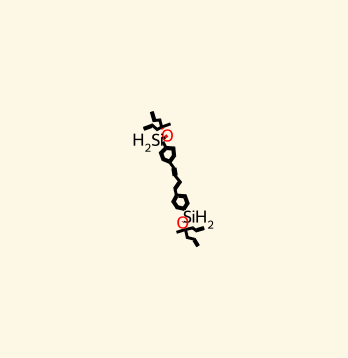 C=CCC(C)(CC=C)O[SiH2]c1ccc(C#CC=Cc2ccc([SiH2]OC(C)(CC=C)CC=C)cc2)cc1